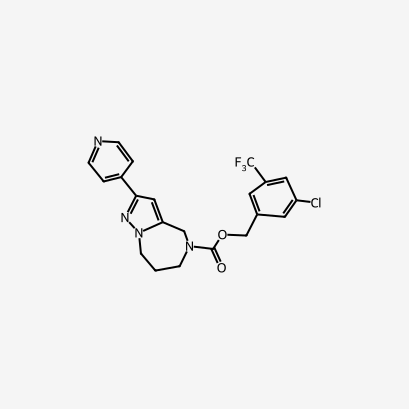 O=C(OCc1cc(Cl)cc(C(F)(F)F)c1)N1CCCn2nc(-c3ccncc3)cc2C1